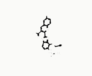 C#CCOc1c(S(=O)(=O)N(C)C)ccc2[nH]c(-c3nc4ccc(C)cc4cc3C(=O)OC)nc12